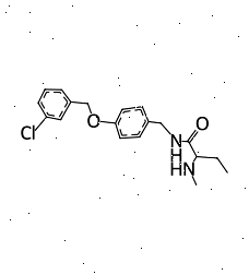 CCC(NC)C(=O)NCc1ccc(OCc2cccc(Cl)c2)cc1